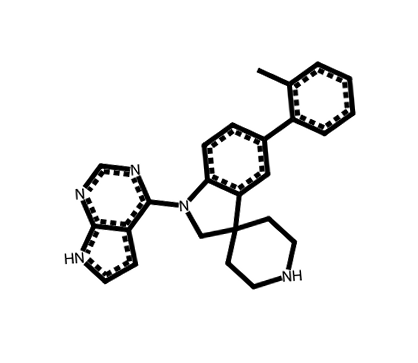 Cc1ccccc1-c1ccc2c(c1)C1(CCNCC1)CN2c1ncnc2[nH]ccc12